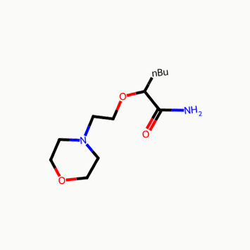 CCCCC(OCCN1CCOCC1)C(N)=O